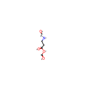 O=C=NCCC(=O)OC=O